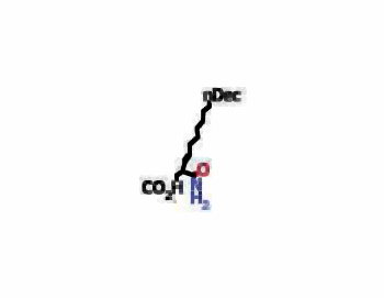 CCCCCCCCCCCCCCCCC=CC(CC(=O)O)C(N)=O